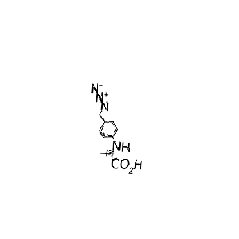 C[C@H](Nc1ccc(CN=[N+]=[N-])cc1)C(=O)O